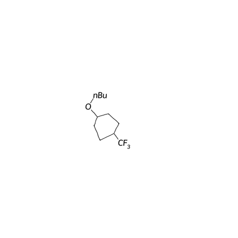 CCCCOC1CCC(C(F)(F)F)CC1